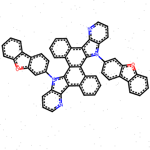 c1ccc2c(c1)oc1cc(-n3c4cccnc4c4c5ccccc5c5c(c6ccccc6c6c7ncccc7n(-c7ccc8c(c7)oc7ccccc78)c65)c43)ccc12